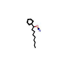 CCCCCCCCC(OC#N)c1ccccc1